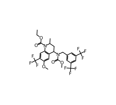 CCOC(=O)N1c2cc(C(F)(F)F)c(OC)cc2C(N(Cc2cc(C(F)(F)F)cc(C(F)(F)F)c2)C(=O)OC)CC1C